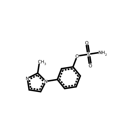 Cc1nccn1-c1cccc(OS(N)(=O)=O)c1